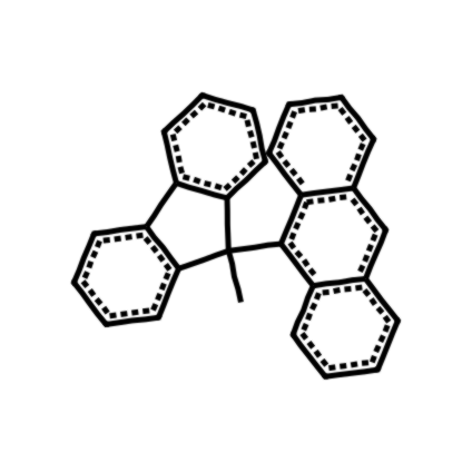 CC1(c2c3ccccc3cc3ccccc23)c2ccccc2-c2ccccc21